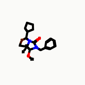 CCOC1[C@@H]2CSC(C3CCCC3)N2C(=O)N1Cc1ccccc1